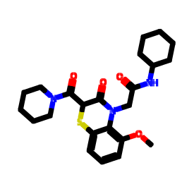 COc1cccc2c1N(CC(=O)NC1CCCCC1)C(=O)C(C(=O)N1CCCCC1)S2